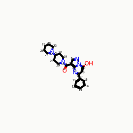 O=C(c1cnn2c(O)cc(-c3ccccc3)nc12)N1CCC(N2CCCCC2)CC1